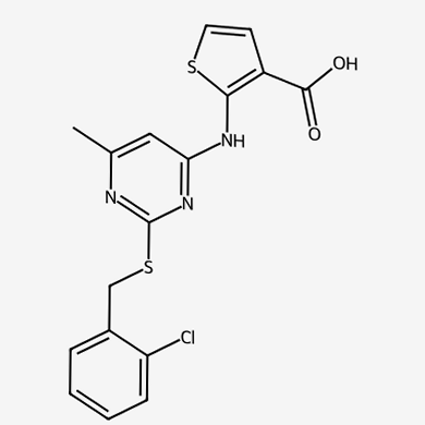 Cc1cc(Nc2sccc2C(=O)O)nc(SCc2ccccc2Cl)n1